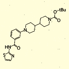 CC(C)(C)OC(=O)N1CCC(C2CCN(c3cccc(C(=O)Nc4nccs4)c3)CC2)CC1